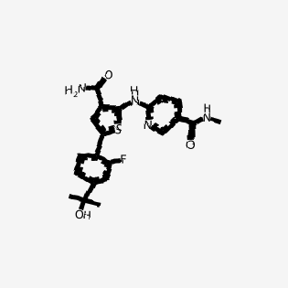 CNC(=O)c1ccc(Nc2sc(-c3ccc(C(C)(C)O)cc3F)cc2C(N)=O)nc1